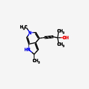 CC1C=C2C(C#CC(C)(C)O)=CN(C)C=C2N1